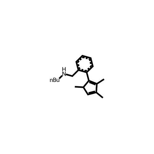 CCCCNCc1ccccc1C1=C(C)C(C)=CC1C